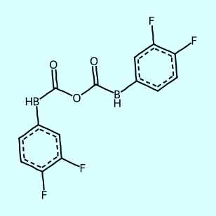 O=C(Bc1ccc(F)c(F)c1)OC(=O)Bc1ccc(F)c(F)c1